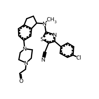 CN(c1nc(-c2ccc(Cl)cc2)c(C#N)s1)C1CCc2ccc(N3CCN(CC=O)CC3)cc21